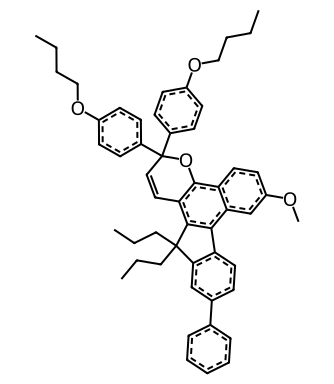 CCCCOc1ccc(C2(c3ccc(OCCCC)cc3)C=Cc3c4c(c5cc(OC)ccc5c3O2)-c2ccc(-c3ccccc3)cc2C4(CCC)CCC)cc1